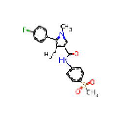 Cc1c(C(=O)Nc2ccc(S(C)(=O)=O)cc2)cn(C)c1-c1ccc(F)cc1